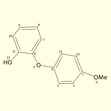 COc1ccc(Oc2ccccc2O)cc1